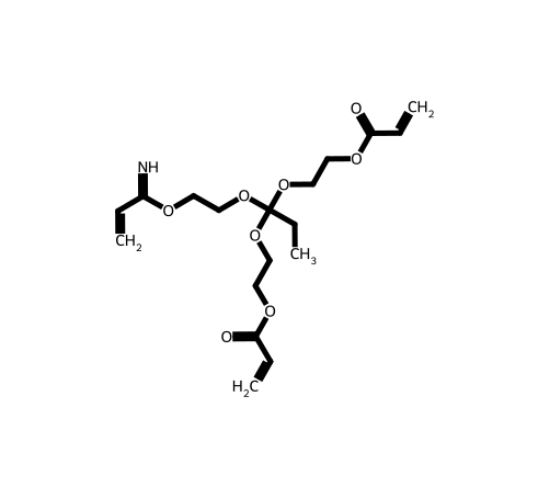 C=CC(=N)OCCOC(CC)(OCCOC(=O)C=C)OCCOC(=O)C=C